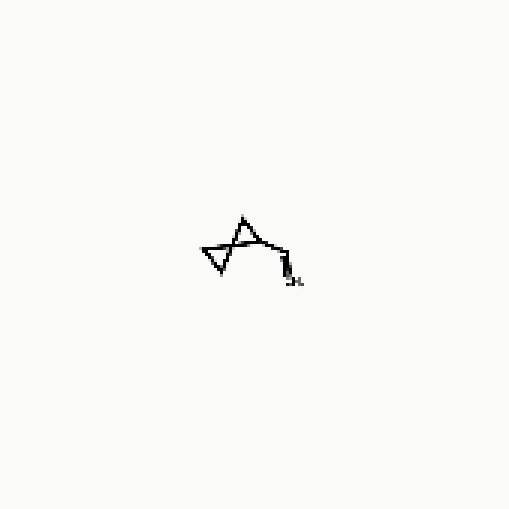 C=CC1CC12CC2